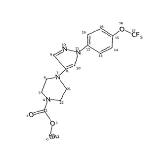 CC(C)(C)OC(=O)N1CCN(c2cnn(-c3ccc(OC(F)(F)F)cc3)c2)CC1